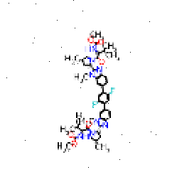 COC(=O)N[C@H](C(=O)N1C[C@@H](C)C[C@H]1c1nc2ccc(-c3cc(F)c(-c4ccc5nc([C@@H]6C[C@H](C)CN6C(=O)[C@@H](NC(=O)OC)C(C)C)n(C)c5c4)cc3F)cc2n1C)C(C)C